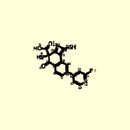 O=C(O)C1(S)C(=O)c2ccc(-c3ccnc(F)c3)cc2C2=C(S)N=C21